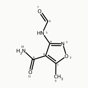 Cc1onc(NC=O)c1C(N)=O